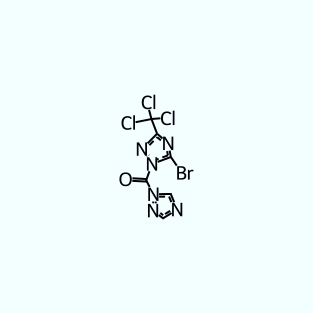 O=C(n1cncn1)n1nc(C(Cl)(Cl)Cl)nc1Br